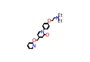 CCN(CC)CCOc1ccc(-n2ccc(COc3ccccn3)cc2=O)cc1